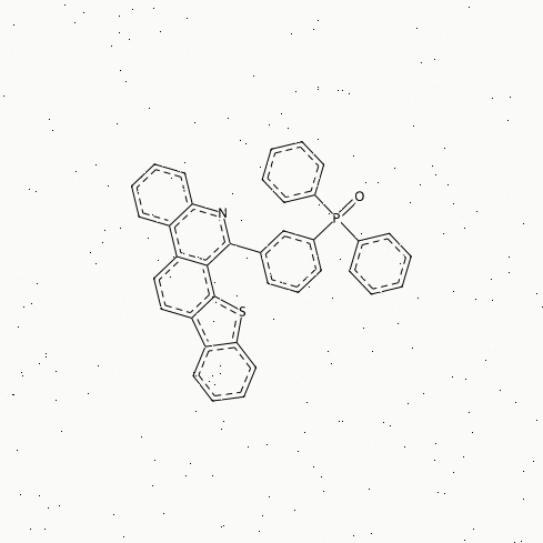 O=P(c1ccccc1)(c1ccccc1)c1cccc(-c2nc3ccccc3c3ccc4c5ccccc5sc4c23)c1